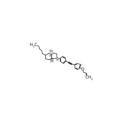 C=CCOc1ccc(C#Cc2ccc([C@@H]3CC[C@@H]4CC(CCCCC)CC[C@@H]4C3)cc2)cc1